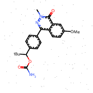 COc1ccc2c(-c3ccc(C(OC(N)=O)C(C)(C)C)cc3)nn(C)c(=O)c2c1